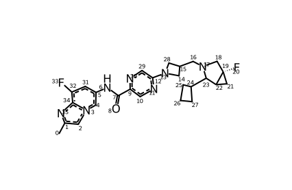 Cc1cn2cc(NC(=O)c3cnc(N4CC(CN5C[C@@]6(F)CC6C5C5CCC5)C4)cn3)cc(F)c2n1